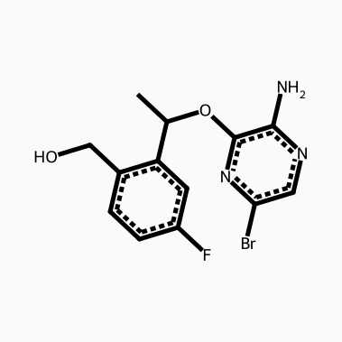 CC(Oc1nc(Br)cnc1N)c1cc(F)ccc1CO